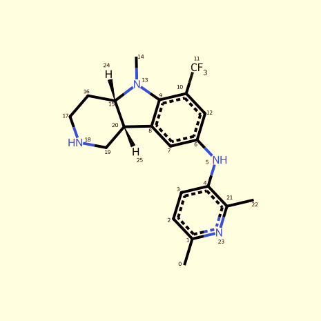 Cc1ccc(Nc2cc3c(c(C(F)(F)F)c2)N(C)[C@H]2CCNC[C@@H]32)c(C)n1